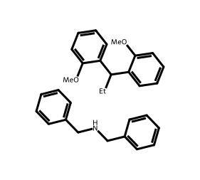 CCC(c1ccccc1OC)c1ccccc1OC.c1ccc(CNCc2ccccc2)cc1